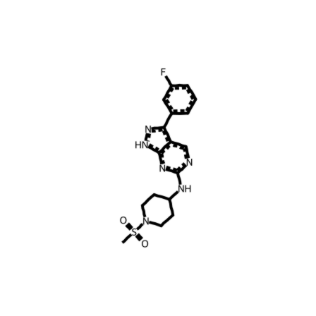 CS(=O)(=O)N1CCC(Nc2ncc3c(-c4cccc(F)c4)n[nH]c3n2)CC1